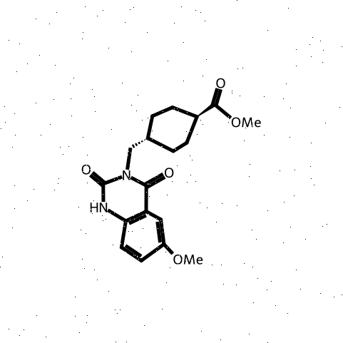 COc1ccc2[nH]c(=O)n(C[C@H]3CC[C@H](C(=O)OC)CC3)c(=O)c2c1